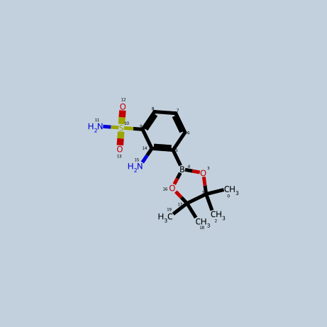 CC1(C)OB(c2cccc(S(N)(=O)=O)c2N)OC1(C)C